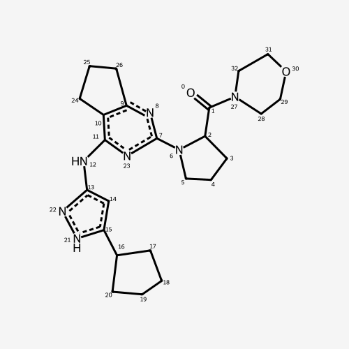 O=C(C1CCCN1c1nc2c(c(Nc3cc(C4CCCC4)[nH]n3)n1)CCC2)N1CCOCC1